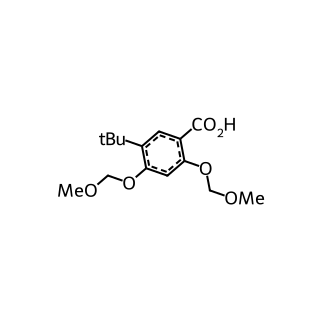 COCOc1cc(OCOC)c(C(C)(C)C)cc1C(=O)O